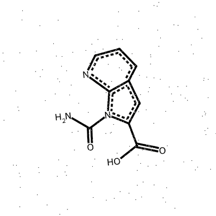 NC(=O)n1c(C(=O)O)cc2cccnc21